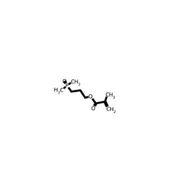 C=C(C)C(=O)OCCCP(C)(C)=O